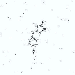 Cn1c(Oc2ccc(Cl)cc2)n[nH]c1=O